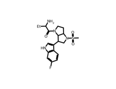 CCC(N)C(=O)N1CCC2C1C(c1c[nH]c3cc(F)ccc13)CN2S(C)(=O)=O